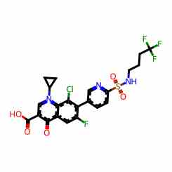 O=C(O)c1cn(C2CC2)c2c(Cl)c(-c3ccc(S(=O)(=O)NCCCC(F)(F)F)nc3)c(F)cc2c1=O